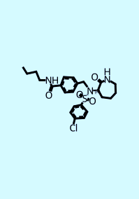 CCCCNC(=O)c1ccc(CN([C@@H]2CCCCNC2=O)S(=O)(=O)c2ccc(Cl)cc2)cc1